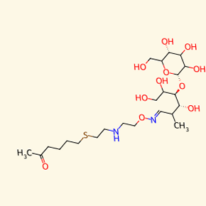 CC(=O)CCCCSCCNCCO/N=C/C(C)[C@@H](O)[C@H](O[C@@H]1OC(CO)[C@H](O)C(O)C1O)C(O)CO